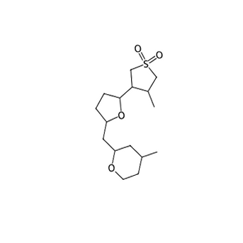 CC1CCOC(CC2CCC(C3CS(=O)(=O)CC3C)O2)C1